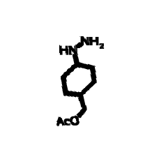 CC(=O)OCC1CCC(NN)CC1